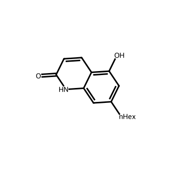 CCCCCCc1cc(O)c2ccc(=O)[nH]c2c1